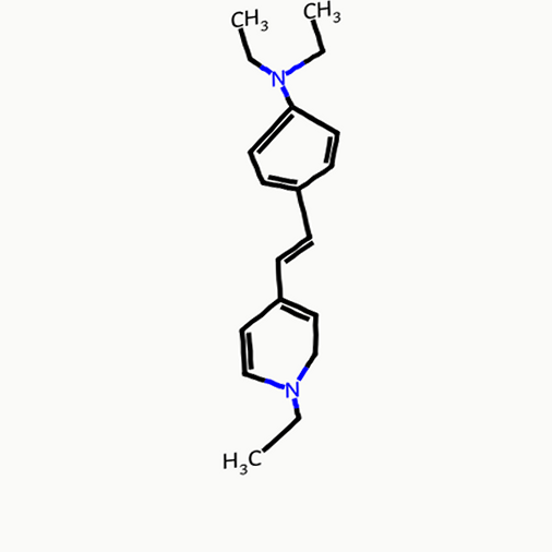 CCN1C=CC(C=Cc2ccc(N(CC)CC)cc2)=CC1